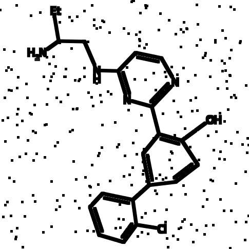 CCC(N)CNc1ccnc(-c2cc(-c3ccccc3Cl)ccc2O)n1